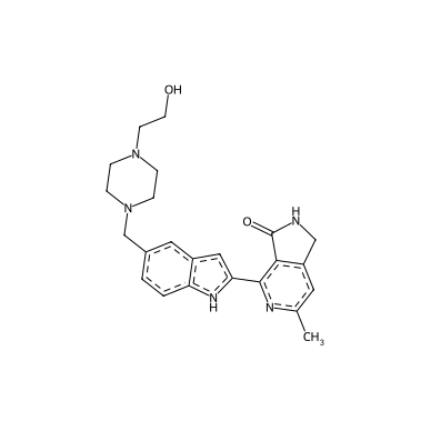 Cc1cc2c(c(-c3cc4cc(CN5CCN(CCO)CC5)ccc4[nH]3)n1)C(=O)NC2